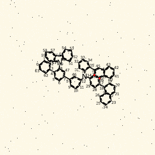 c1ccc(-c2ccc(-c3cccc(N(c4ccc(-c5cccc6ccccc56)cc4)c4ccccc4-c4ccc5ccccc5c4)c3)cc2-n2c3ccccc3c3ccccc32)cc1